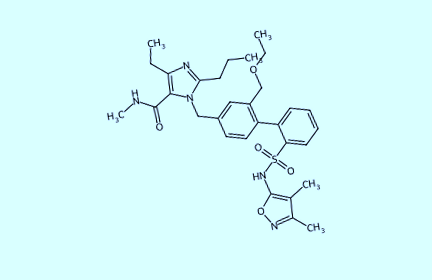 CCCc1nc(CC)c(C(=O)NC)n1Cc1ccc(-c2ccccc2S(=O)(=O)Nc2onc(C)c2C)c(COCC)c1